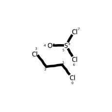 ClCCCl.[O-][S+](Cl)Cl